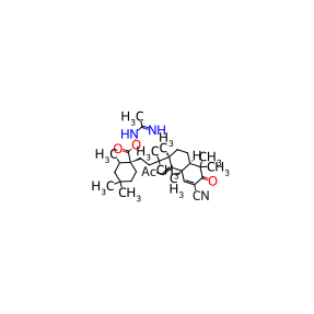 CC(=N)NOC(=O)[C@]1(CCC(C)(C)[C@]2(C)CC[C@H]3C(C)(C)C(=O)C(C#N)=C[C@]3(C)/C2=C/C(C)=O)CCC(C)(C)CC1C